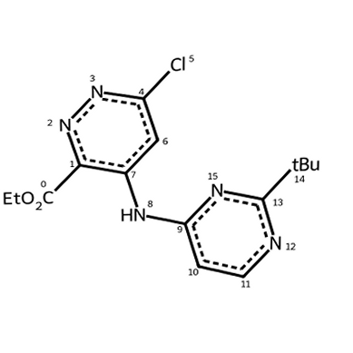 CCOC(=O)c1nnc(Cl)cc1Nc1ccnc(C(C)(C)C)n1